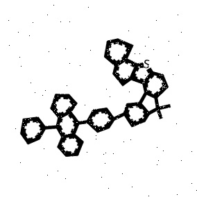 CC1(C)c2ccc(-c3ccc(-c4c5ccccc5c(-c5ccccc5)c5ccccc45)cc3)cc2-c2c1ccc1sc3c4ccccc4ccc3c21